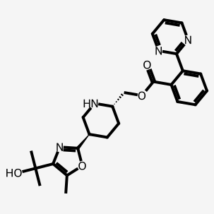 Cc1oc([C@@H]2CC[C@@H](COC(=O)c3ccccc3-c3ncccn3)NC2)nc1C(C)(C)O